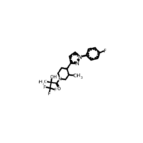 CC1CN(C(=O)C(C)(O)C(F)(F)F)CCC1c1ccn(-c2ccc(F)cc2)n1